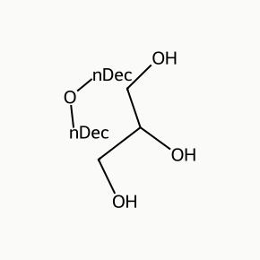 CCCCCCCCCCOCCCCCCCCCC.OCC(O)CO